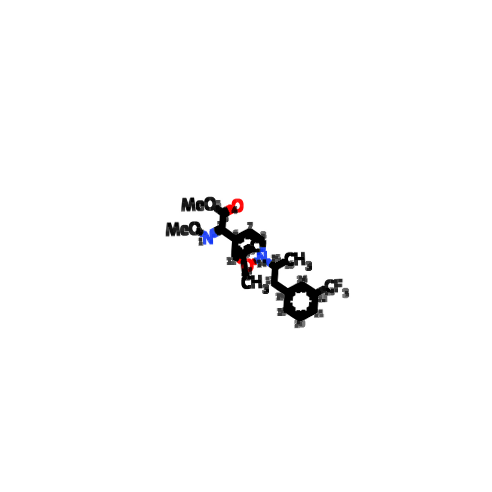 CON=C(C(=O)OC)c1cc2cc(C)c1ON2C(C)Cc1cccc(C(F)(F)F)c1